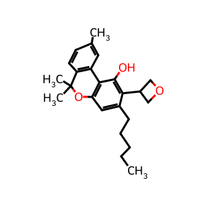 CCCCCc1cc2c(c(O)c1C1COC1)-c1cc(C)ccc1C(C)(C)O2